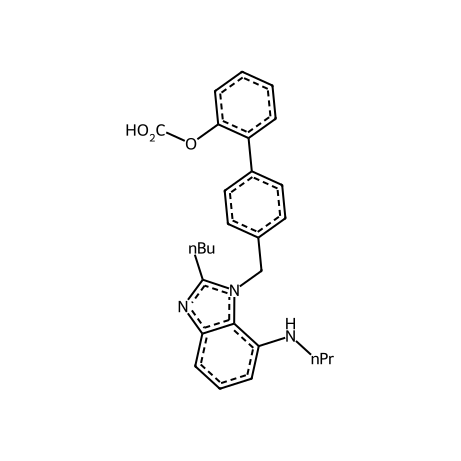 CCCCc1nc2cccc(NCCC)c2n1Cc1ccc(-c2ccccc2OC(=O)O)cc1